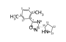 Cc1ccc(C)c(-c2nc([C@@H]3CCCN3)no2)c1